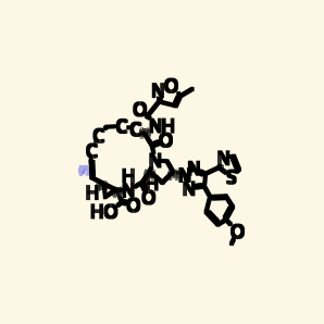 COc1ccc(-c2nn([C@@H]3C[C@H]4C(=O)N[C@]5(C(=O)O)C[C@H]5/C=C\CCCCC[C@H](NC(=O)c5cc(C)on5)C(=O)N4C3)nc2-c2nccs2)cc1